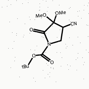 COC1(OC)C(=O)N(C(=O)OC(C)(C)C)CC1C#N